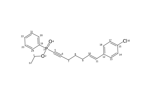 CCOP(=O)(C#CCCC/C=C/c1ccc(Cl)cc1)c1ccccc1